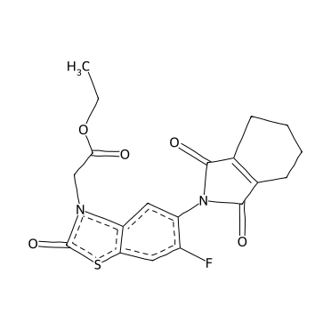 CCOC(=O)Cn1c(=O)sc2cc(F)c(N3C(=O)C4=C(CCCC4)C3=O)cc21